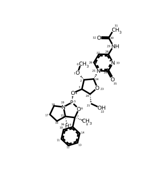 CO[C@H]1C(O[P@]2O[C@@](C)(c3ccccc3)[C@H]3CCCN32)[C@@H](CO)O[C@H]1n1ccc(NC(C)=O)nc1=O